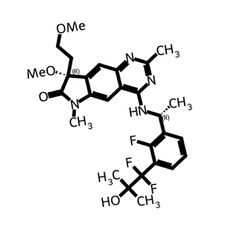 COCC[C@]1(OC)C(=O)N(C)c2cc3c(N[C@H](C)c4cccc(C(F)(F)C(C)(C)O)c4F)nc(C)nc3cc21